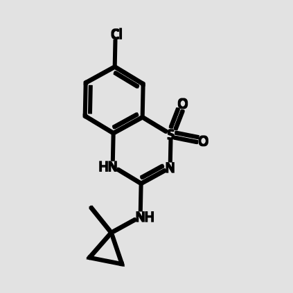 CC1(NC2=NS(=O)(=O)c3cc(Cl)ccc3N2)CC1